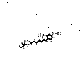 CCC1(COCCCCCCCc2ccc(C=O)cc2C)COC1